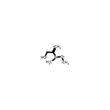 C=C(CO)N(C)OC